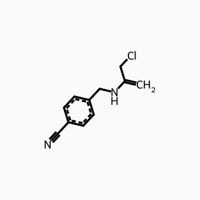 C=C(CCl)NCc1ccc(C#N)cc1